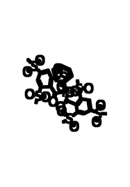 CS(=O)(=O)c1cc(S(C)(=O)=O)c(C(=O)P(=O)(C(=O)c2c(S(C)(=O)=O)cc(S(C)(=O)=O)cc2S(C)(=O)=O)c2ccccc2)c(S(C)(=O)=O)c1